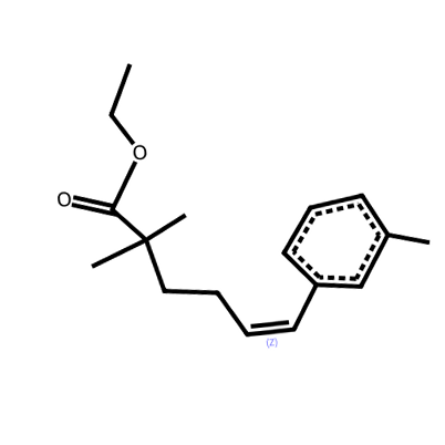 CCOC(=O)C(C)(C)CC/C=C\c1cccc(C)c1